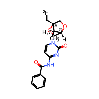 [2H]C[C@]12CO[C@H]([C@H](n3ccc(NC(=O)c4ccccc4)nc3=O)O1)C2(C)C